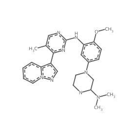 COc1ccc(N2CC[N]C(N(C)C)C2)cc1Nc1ncc(C)c(-c2cnn3ccccc23)n1